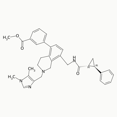 COC(=O)c1cccc(-c2ccc(CNC(=O)[C@@H]3C[C@H]3c3ccccc3)c3c2CCN(Cc2ncn(C)c2C)C3)c1